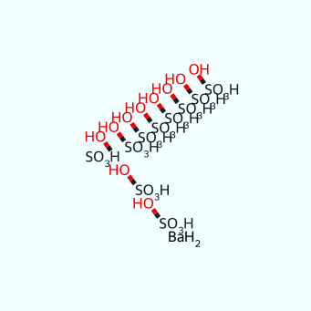 O=S(=O)(O)O.O=S(=O)(O)O.O=S(=O)(O)O.O=S(=O)(O)O.O=S(=O)(O)O.O=S(=O)(O)O.O=S(=O)(O)O.O=S(=O)(O)O.O=S(=O)(O)O.O=S(=O)(O)O.[BaH2]